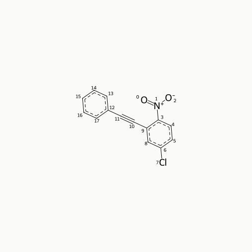 O=[N+]([O-])c1ccc(Cl)cc1C#Cc1ccccc1